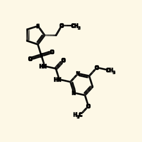 COCc1sccc1S(=O)(=O)NC(=O)Nc1nc(OC)cc(OC)n1